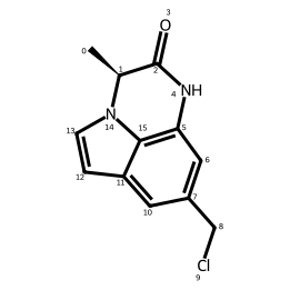 C[C@H]1C(=O)Nc2cc(CCl)cc3ccn1c23